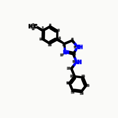 Cc1ccc([C@H]2CNC(NCc3ccccc3)=N2)cc1